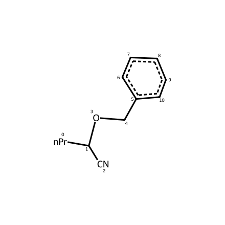 CCCC(C#N)OCc1ccccc1